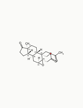 CC(=O)OC[C@]12CCC(=O)C[C@@]13O[C@H]3C[C@@H]1[C@@H]2CC[C@]2(C)C(=O)CC[C@@H]12